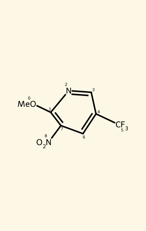 COc1ncc(C(F)(F)F)cc1[N+](=O)[O-]